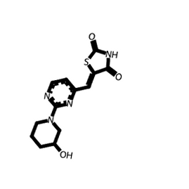 O=C1NC(=O)/C(=C/c2ccnc(N3CCCC(O)C3)n2)S1